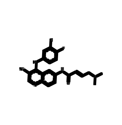 CN(C)CC=CC(=O)Nc1ccc2ncc(C#N)c(Nc3ccc(F)c(Cl)c3)c2c1